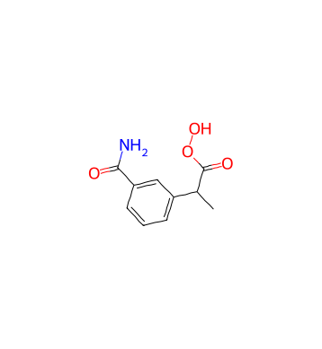 CC(C(=O)OO)c1cccc(C(N)=O)c1